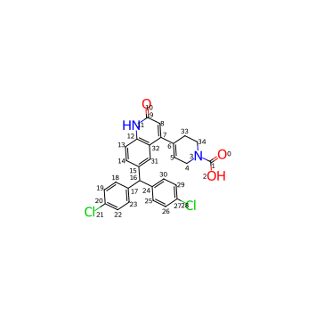 O=C(O)N1CC=C(c2cc(=O)[nH]c3ccc(C(c4ccc(Cl)cc4)c4ccc(Cl)cc4)cc23)CC1